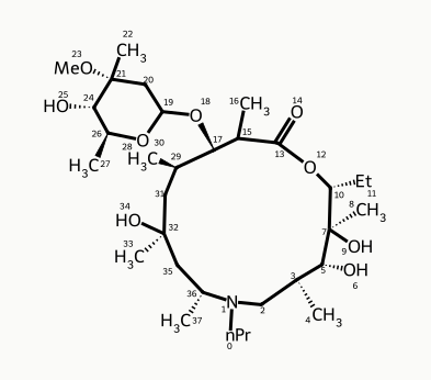 CCCN1C[C@@H](C)[C@@H](O)[C@](C)(O)[C@@H](CC)OC(=O)C(C)[C@H](OC2C[C@@](C)(OC)[C@@H](O)[C@H](C)O2)[C@H](C)C[C@](C)(O)C[C@H]1C